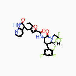 CC1C(c2cc(F)cc(F)c2F)CC(NC(=O)c2cc3c(o2)CC[C@@]2(C3)C(=O)Nc3ncccc32)C(=O)N1CC(F)(F)F